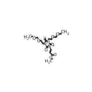 C=COCOCCn1c(=O)n(CCOCOC=C)c(=O)n(CCC(=O)OC=C)c1=O